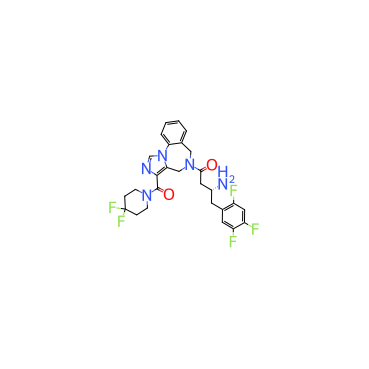 N[C@@H](CC(=O)N1Cc2ccccc2-n2cnc(C(=O)N3CCC(F)(F)CC3)c2C1)Cc1cc(F)c(F)cc1F